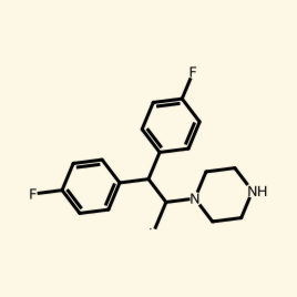 [CH2]C(C(c1ccc(F)cc1)c1ccc(F)cc1)N1CCNCC1